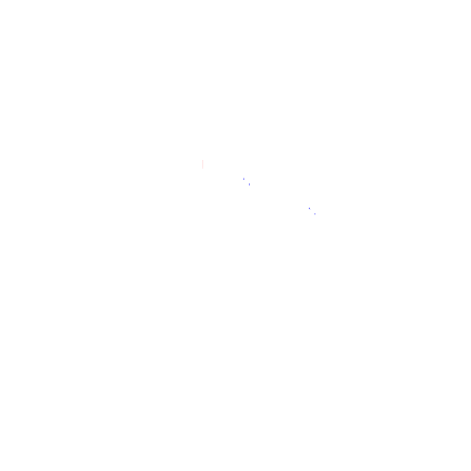 ON1CCNCC1c1ccccc1F